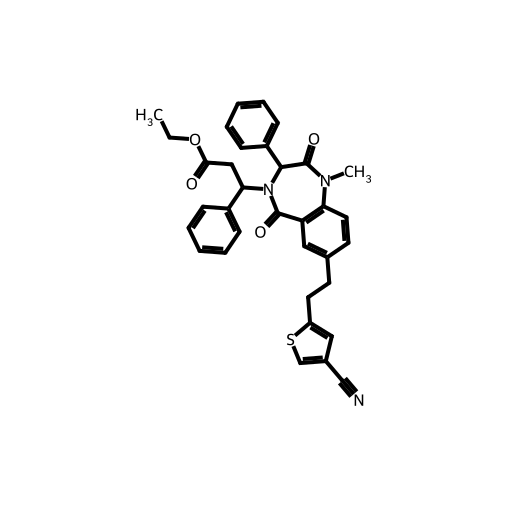 CCOC(=O)CC(c1ccccc1)N1C(=O)c2cc(CCc3cc(C#N)cs3)ccc2N(C)C(=O)C1c1ccccc1